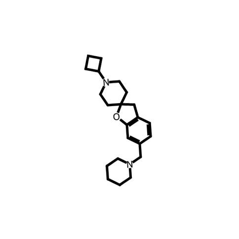 c1cc2c(cc1CN1CCCCC1)OC1(CCN(C3CCC3)CC1)C2